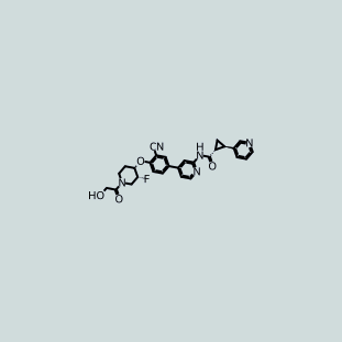 N#Cc1cc(-c2ccnc(NC(=O)[C@@H]3C[C@H]3c3cccnc3)c2)ccc1O[C@H]1CCN(C(=O)CO)C[C@H]1F